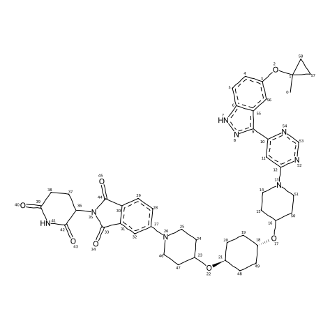 CC1(Oc2ccc3[nH]nc(-c4cc(N5CCC(O[C@H]6CC[C@H](OC7CCN(c8ccc9c(c8)C(=O)N(C8CCC(=O)NC8=O)C9=O)CC7)CC6)CC5)ncn4)c3c2)CC1